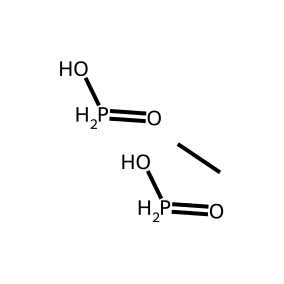 CC.O=[PH2]O.O=[PH2]O